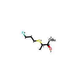 CC(C)COC(=O)C(C)SCCCF